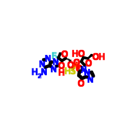 Nc1ncnc2c1ncn2[C@]1(F)CO[C@H](CO[P@@](=O)(S)O[C@@H]2[C@H](O)[C@@H](CO)O[C@H]2n2ccc(=O)c3nccn32)[C@H]1O